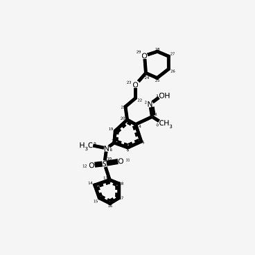 CC(=NO)c1ccc(N(C)S(=O)(=O)c2ccccc2)cc1CCOC1CCCCO1